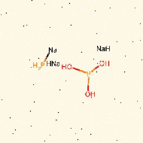 OP(O)O.[NaH].[NaH].[Na][PH2]